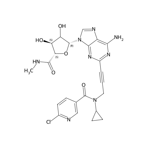 CNC(=O)[C@H]1O[C@@H](n2cnc3c(N)nc(C#CCN(C(=O)c4ccc(Cl)nc4)C4CC4)nc32)C(O)[C@@H]1O